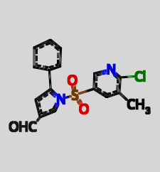 Cc1cc(S(=O)(=O)n2cc(C=O)cc2-c2ccccc2)cnc1Cl